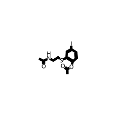 CC(=O)NCCSc1cc(I)ccc1OC(C)=O